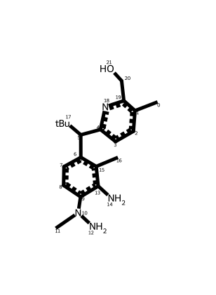 Cc1ccc(C(c2ccc(N(C)N)c(N)c2C)C(C)(C)C)nc1CO